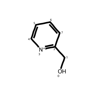 OCC1=[N+]C=CC=C1